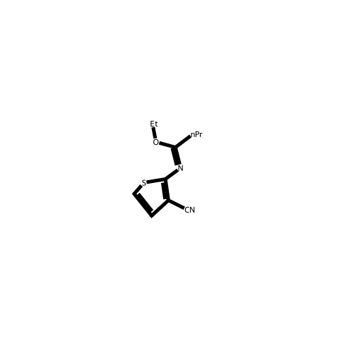 CCC/C(=N/c1sccc1C#N)OCC